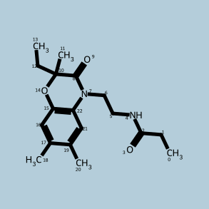 CCC(=O)NCCN1C(=O)C(C)(CC)Oc2cc(C)c(C)cc21